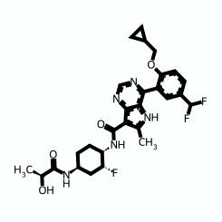 Cc1[nH]c2c(-c3cc(C(F)F)ccc3OCC3CC3)ncnc2c1C(=O)N[C@H]1CC[C@H](NC(=O)[C@H](C)O)C[C@H]1F